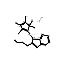 CCCCC1=Cc2ccccc2[CH]1[Zr+2][C]1=C(C)C(C)=C(C)C1(C)C.[Cl-].[Cl-]